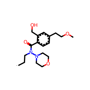 [CH2]CCN(C(=O)c1ccc(CCOC)cc1CO)N1CCOCC1